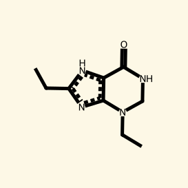 CCc1nc2c([nH]1)C(=O)NCN2CC